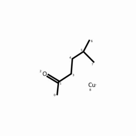 CC(=O)CCC(C)C.[Cu]